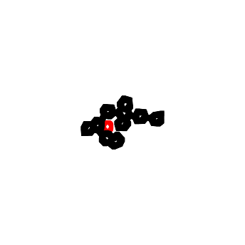 c1ccc(-c2ccc(-c3c4ccccc4c(-c4cccc(-c5cc6ccccc6c6c5oc5c7ccccc7ccc56)c4)c4ccccc34)cc2)cc1